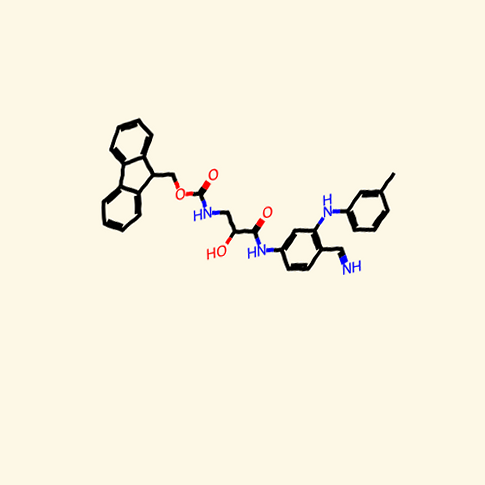 Cc1cccc(Nc2cc(NC(=O)C(O)CNC(=O)OCC3c4ccccc4-c4ccccc43)ccc2C=N)c1